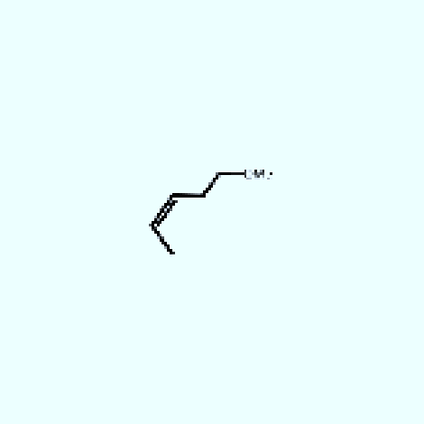 C/C=C\CCOC